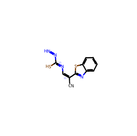 N#C/C(=C/N=C(\S)N=N)c1nc2ccccc2s1